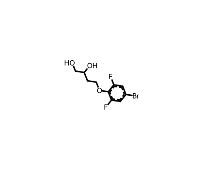 OCC(O)CCOc1c(F)cc(Br)cc1F